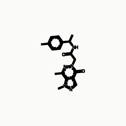 Cc1ccc(C(C)NC(=O)Cn2nc(C)c3c(cnn3C)c2=O)cc1